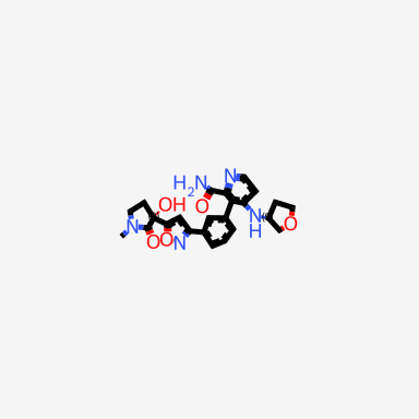 CN1CC[C@@](O)(c2cc(-c3cccc(-c4c(N[C@H]5CCOC5)ccnc4C(N)=O)c3)no2)C1=O